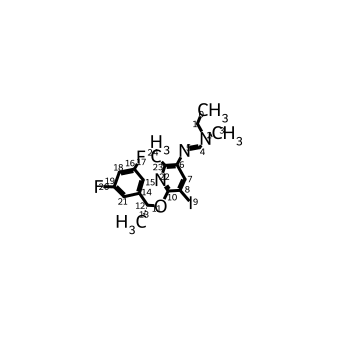 CCN(C)/C=N/c1cc(I)c(O[C@H](C)c2cc(F)cc(F)c2)nc1C